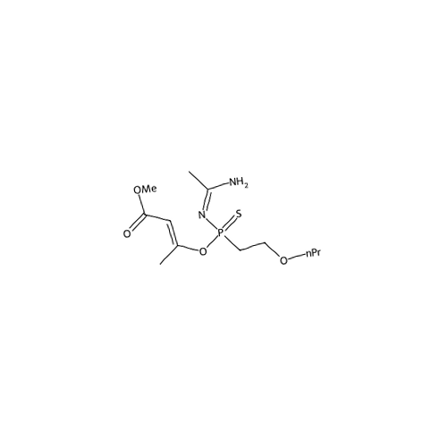 CCCOCCP(=S)(N=C(C)N)OC(C)=CC(=O)OC